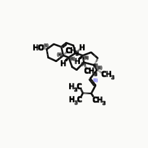 CC(C)C(C)/C=C/[C@@H](C)[C@H]1CC[C@H]2[C@@H]3CC=C4C[C@@H](O)CC[C@]4(C)[C@H]3CC[C@]12C